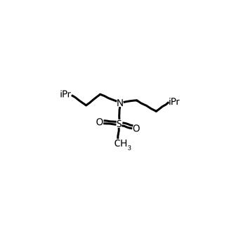 CC(C)CCN(CCC(C)C)S(C)(=O)=O